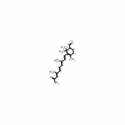 CC1=C(/C=C/C(C)=C/C=C/C(C)=C/C(N)=O)C(C)(C)C(C=O)CC1